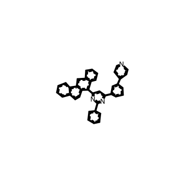 c1ccc(-c2nc(-c3cccc(-c4ccncc4)c3)cc(-c3c4ccccc4cc4c3ccc3ccccc34)n2)cc1